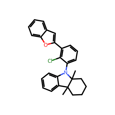 CC12CCCCC1(C)N(c1cccc(-c3cc4ccccc4o3)c1Cl)c1ccccc12